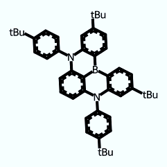 CC(C)(C)c1ccc(N2c3cc(C(C)(C)C)ccc3B3c4ccc(C(C)(C)C)cc4N(c4ccc(C(C)(C)C)cc4)c4cccc2c43)cc1